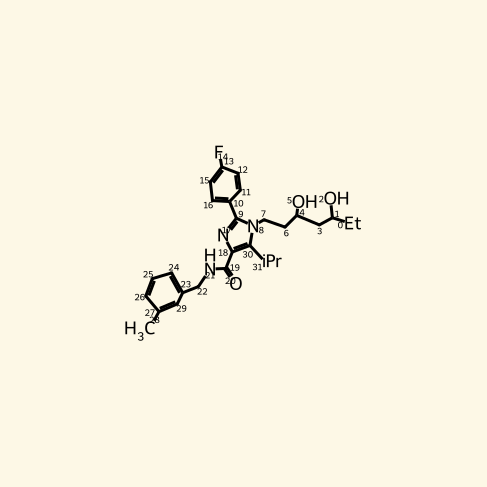 [CH2]CC(O)CC(O)CCn1c(-c2ccc(F)cc2)nc(C(=O)NCc2cccc(C)c2)c1C(C)C